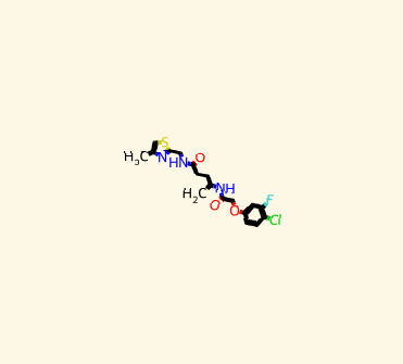 C=C(CCC(=O)NCc1nc(C)cs1)NC(=O)COc1ccc(Cl)c(F)c1